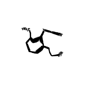 CC(C)CCc1cccc(C(=O)O)c1N=[N+]=[N-]